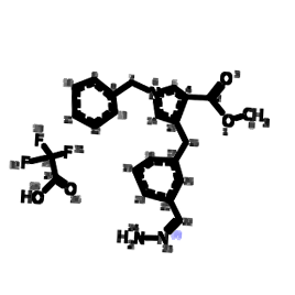 COC(=O)c1cn(Cc2ccccc2)cc1Cc1cccc(/C=N\N)c1.O=C(O)C(F)(F)F